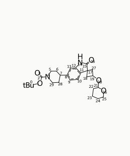 CC(C)(C)OC(=O)N1CCC(c2ccc3c(c2)NC(=O)C32CC(OC3CCCCO3)C2)CC1